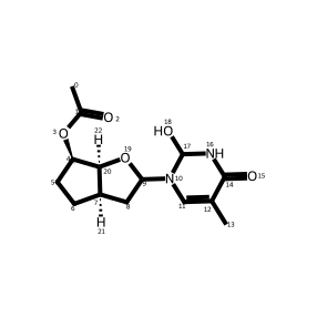 CC(=O)O[C@@H]1CC[C@@H]2CC(N3C=C(C)C(=O)NC3O)O[C@@H]21